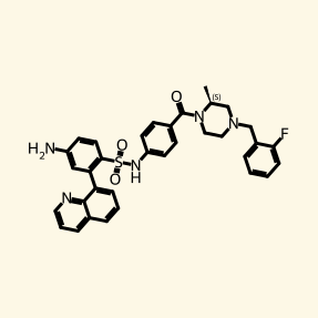 C[C@H]1CN(Cc2ccccc2F)CCN1C(=O)c1ccc(NS(=O)(=O)c2ccc(N)cc2-c2cccc3cccnc23)cc1